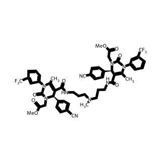 COC(=O)CN1C(=O)N(c2cccc(C(F)(F)F)c2)C(C)=C(C(=O)NCCCN(C)CCCNC(=O)C2=C(C)N(c3cccc(C(F)(F)F)c3)C(=O)N(CC(=O)OC)[C@@H]2c2ccc(C#N)cc2)[C@H]1c1ccc(C#N)cc1